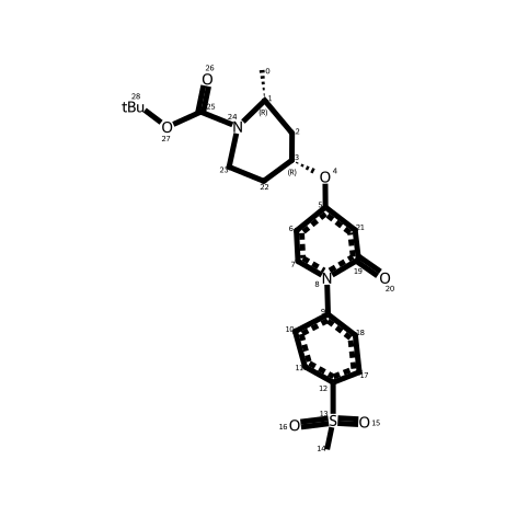 C[C@@H]1C[C@H](Oc2ccn(-c3ccc(S(C)(=O)=O)cc3)c(=O)c2)CCN1C(=O)OC(C)(C)C